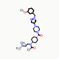 CCOc1cccc(Cn2cc(N3CCN(C(=O)[C@H]4CC[C@H](N(CCN(C)C)C(=O)CC)CC4)CC3)cn2)c1